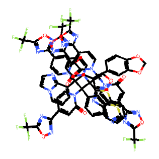 O=c1cc(-c2noc(C(F)(F)F)n2)ccn1C(Cc1cnoc1)(c1cccn2ccnc12)C(c1ccc2ncsc2c1)(n1ccc(-c2noc(C(F)(F)F)n2)cc1=O)C(c1nc2ccccc2s1)(n1ccc(-c2noc(C(F)(F)F)n2)cc1=O)C(c1ccc2c(c1)OCO2)(n1ccc(-c2noc(C(F)(F)F)n2)cc1=O)n1ccc(-c2noc(C(F)(F)F)n2)cc1=O